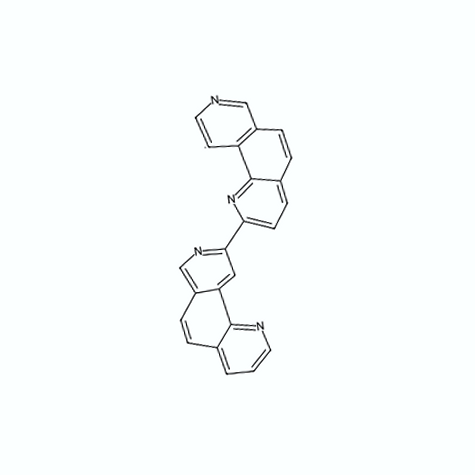 [c]1cncc2ccc3ccc(-c4cc5c(ccc6cccnc65)cn4)nc3c12